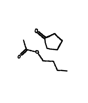 CCCCOC(C)=O.O=C1CCCC1